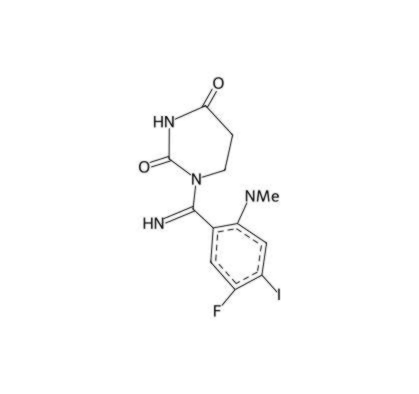 CNc1cc(I)c(F)cc1C(=N)N1CCC(=O)NC1=O